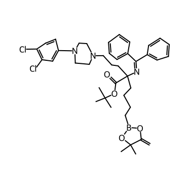 C=C1OB(CCCCC(CCCN2CCN(c3ccc(Cl)c(Cl)c3)CC2)(N=C(c2ccccc2)c2ccccc2)C(=O)OC(C)(C)C)OC1(C)C